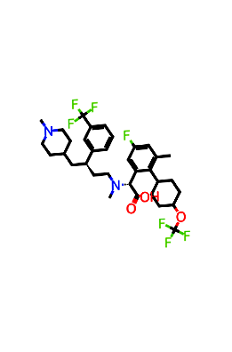 Cc1cc(F)cc([C@H](C(=O)O)N(C)CC[C@@H](CC2CCN(C)CC2)c2cccc(C(F)(F)F)c2)c1C1CCC(OC(F)(F)F)CC1